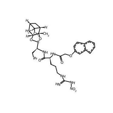 CC(C)C[C@H](NC(=O)[C@H](CCCNC(=N)N[N+](=O)[O-])NC(=O)COc1ccc2ccccc2c1)B1O[C@@H]2C[C@@H]3C[C@@H](C3(C)C)[C@]2(C)O1